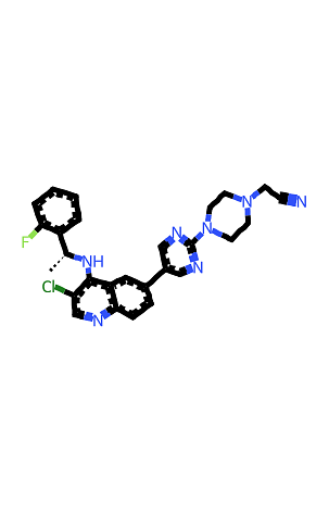 C[C@@H](Nc1c(Cl)cnc2ccc(-c3cnc(N4CCN(CC#N)CC4)nc3)cc12)c1ccccc1F